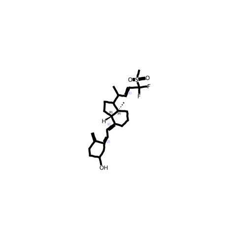 C=C1CCC(O)C/C1=C/C=C1\CCC[C@]2(C)C(C(C)/C=C/C(F)(F)S(C)(=O)=O)CC[C@@H]12